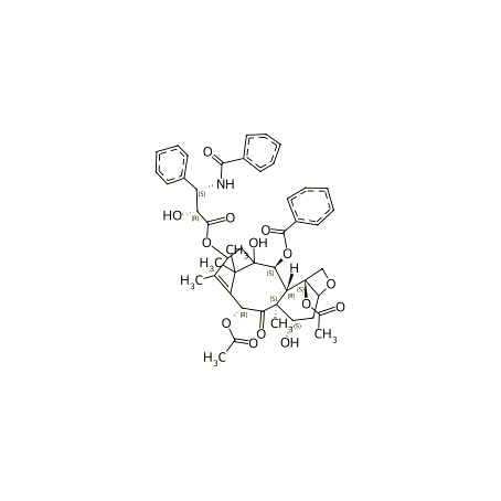 CC(=O)O[C@H]1C(=O)[C@]2(C)[C@@H](O)CC3OC[C@@]3(OC(C)=O)[C@H]2[C@H](OC(=O)c2ccccc2)C2(O)CC(OC(=O)[C@H](O)[C@@H](NC(=O)c3ccccc3)c3ccccc3)C(C)=C1C2(C)C